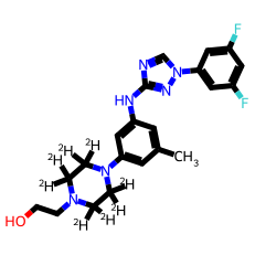 [2H]C1([2H])N(CCO)C([2H])([2H])C([2H])([2H])N(c2cc(C)cc(Nc3ncn(-c4cc(F)cc(F)c4)n3)c2)C1([2H])[2H]